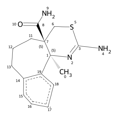 C[C@@]12N=C(N)SC[C@@]1(C(N)=O)CCCc1cc[c]cc12